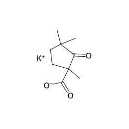 CC1(C)CCC(C)(C(=O)[O-])C1=O.[K+]